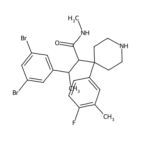 CNC(=O)C(C(C)c1cc(Br)cc(Br)c1)C1(c2ccc(F)c(C)c2)CCNCC1